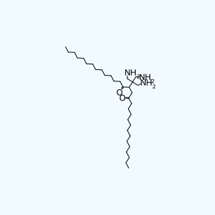 CCCCCCCCCCCCCC(=O)CC(C(=O)CCCCCCCCCCCCC)C(CN)(CN)CN